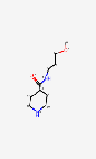 COCCCNC(=O)C1CCNCC1